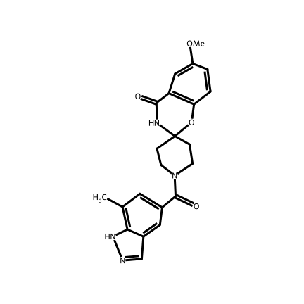 COc1ccc2c(c1)C(=O)NC1(CCN(C(=O)c3cc(C)c4[nH]ncc4c3)CC1)O2